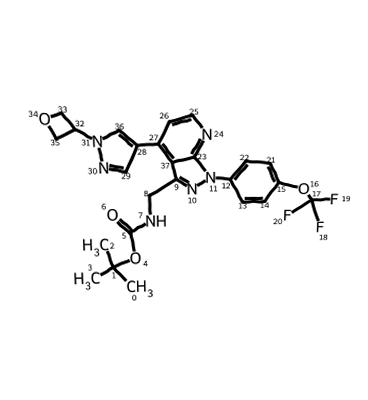 CC(C)(C)OC(=O)NCc1nn(-c2ccc(OC(F)(F)F)cc2)c2nccc(-c3cnn(C4COC4)c3)c12